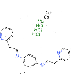 C(Cc1ccccn1)=Nc1ccc(N=CCc2ccccn2)cc1.Cl.Cl.Cl.Cl.[Cu].[Cu]